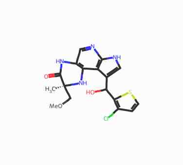 COC[C@]1(C)Nc2c(cnc3[nH]cc(C(O)c4sccc4Cl)c23)NC1=O